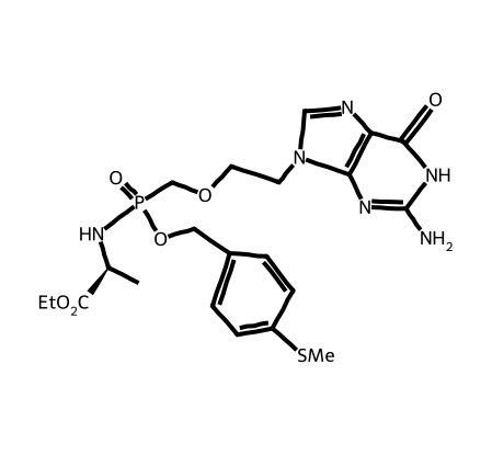 CCOC(=O)[C@H](C)NP(=O)(COCCn1cnc2c(=O)[nH]c(N)nc21)OCc1ccc(SC)cc1